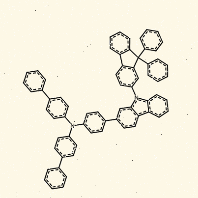 c1ccc(-c2ccc(N(c3ccc(-c4ccccc4)cc3)c3ccc(-c4ccc5c6ccccc6n(-c6ccc7c(c6)C(c6ccccc6)(c6ccccc6)c6ccccc6-7)c5c4)cc3)cc2)cc1